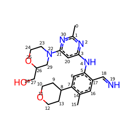 Cc1nc(Nc2cc(C3CCOCC3)c(C)cc2C=N)cc(N2CCOC(CO)C2)n1